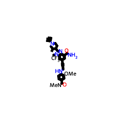 CNC(=O)c1ccc(NCC#Cc2cc(C(N)=O)c3nc(C4CCN(C56CC(C5)C6)CC4C)n(CC(F)(F)F)c3c2)c(OC)c1